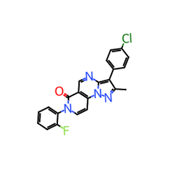 Cc1nn2c(ncc3c(=O)n(-c4ccccc4F)ccc32)c1-c1ccc(Cl)cc1